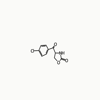 O=C1NC(C(=O)c2ccc(Cl)cc2)CO1